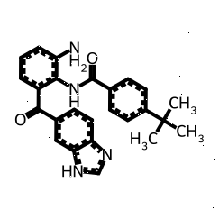 CC(C)(C)c1ccc(C(=O)Nc2c(N)cccc2C(=O)c2ccc3nc[nH]c3c2)cc1